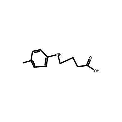 Cc1ccc(NCCCC(=O)O)cc1